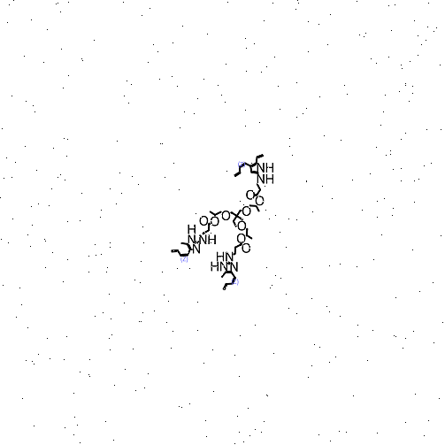 C=C/C=C\c1cc(NCCC(=O)OC(C)COCC(CC)(COCC(C)OC(=O)CCNc2nc(/C=C\C=C)c(C)[nH]2)COCC(C)OC(=O)CCNc2nc(/C=C\C=C)c(C)[nH]2)[nH]c1C=C